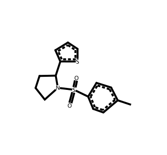 Cc1ccc(S(=O)(=O)N2CCCC2c2cccs2)cc1